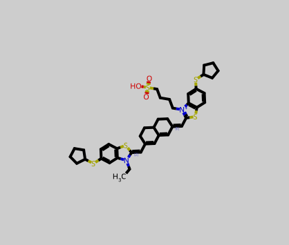 CCN1/C(=C/C2=CC3=C/C(=C/c4sc5ccc(SC6CCCC6)cc5[n+]4CCCCS(=O)(=O)O)CCC3CC2)Sc2ccc(SC3CCCC3)cc21